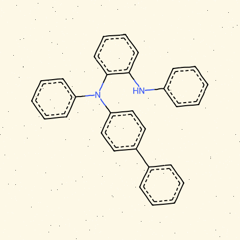 c1ccc(Nc2ccccc2N(c2ccccc2)c2ccc(-c3ccccc3)cc2)cc1